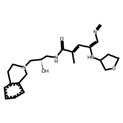 C=N/C=C(\C=C(/C)C(=O)NC[C@H](O)CN1CCc2ccccc2C1)NC1CCOC1